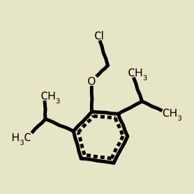 CC(C)c1cccc(C(C)C)c1OCCl